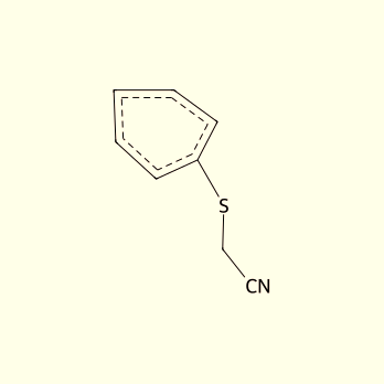 N#CCSc1ccccc1